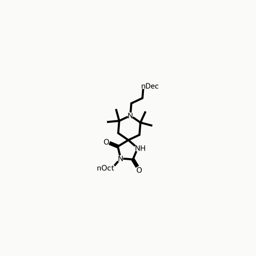 CCCCCCCCCCCCN1C(C)(C)CC2(CC1(C)C)NC(=O)N(CCCCCCCC)C2=O